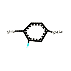 CSc1ccc(NC(C)=O)cc1F